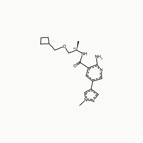 C[C@H](COCC1CCC1)NC(=O)c1cc(-c2cnn(C)c2)cnc1N